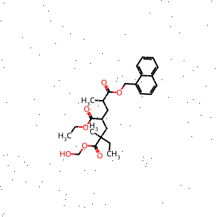 CCOC(=O)C(CC(C)C(=O)OCc1cccc2ccccc12)CC(C)(CC)C(=O)OCO